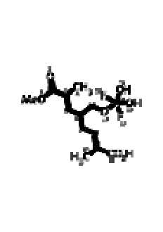 COC(=O)C(C)=CC(CC=C(C)C(=O)O)COP(O)(O)(F)F